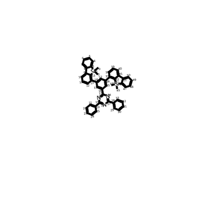 C[Si]1(C)c2ccccc2-c2cccc(-c3cc(-c4nc(-c5ccccc5)nc(-c5ccccc5)n4)cc(-c4cccc5c4[Si](C)(C)c4ccccc4-5)c3)c21